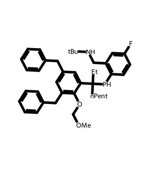 CCCCCC(CC)(Pc1ccc(F)cc1CNC(C)(C)C)c1cc(Cc2ccccc2)cc(Cc2ccccc2)c1OCOC